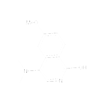 COc1ccc2c(O)ncc(N(C)C)c2c1